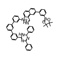 CC1(C)OB(c2cccc(-c3ccc4ccc(Nc5cccc(-c6cccc(-c7cccc(C8=NC(c9ccccc9)=NC(c9ccccc9)N8)c7)c6)c5)c(C=N)c4c3)c2)OC1(C)C